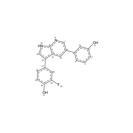 Oc1cccc(-c2cnc3[nH]cc(-c4ccc(O)c(F)c4)c3c2)c1